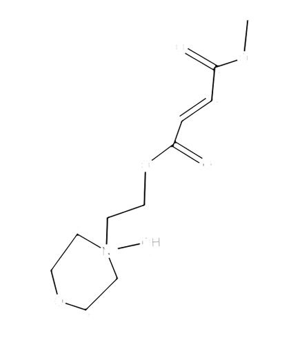 COC(=O)/C=C/C(=O)OCC[N+]1(O)CCOCC1